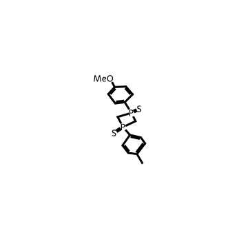 COc1ccc(P2(=S)CP(=S)(c3ccc(C)cc3)C2)cc1